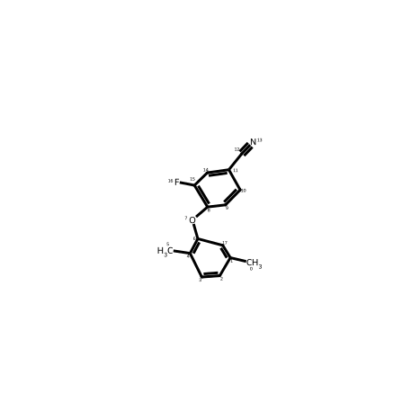 Cc1ccc(C)c(Oc2ccc(C#N)cc2F)c1